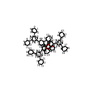 c1ccc(-c2nc(-c3ccccc3)nc(-c3ccc(-n4c5ccccc5c5cc(-c6nc(-c7ccccc7)nc(-c7ccccc7)n6)ccc54)c(-c4ccncc4-n4c5ccccc5c5cc(-c6nc(-c7ccccc7)nc(-c7ccccc7)n6)ccc54)c3)n2)cc1